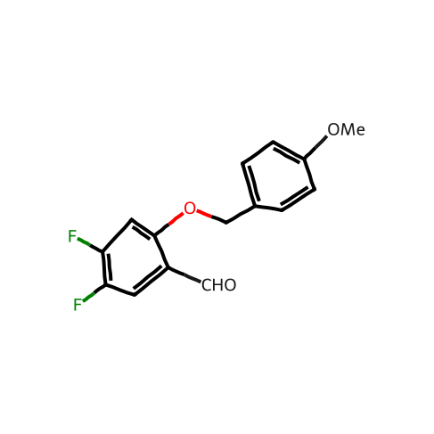 COc1ccc(COc2cc(F)c(F)cc2C=O)cc1